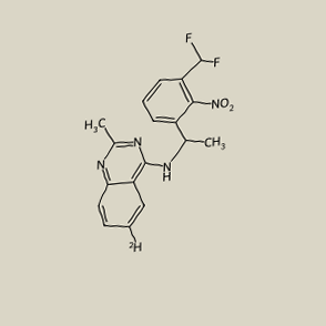 [2H]c1ccc2nc(C)nc(NC(C)c3cccc(C(F)F)c3[N+](=O)[O-])c2c1